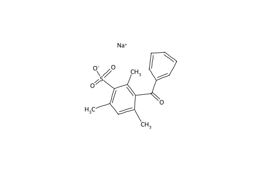 Cc1cc(C)c(S(=O)(=O)[O-])c(C)c1C(=O)c1ccccc1.[Na+]